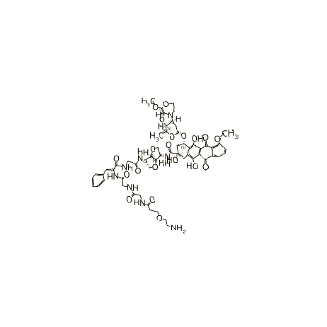 COc1cccc2c1C(=O)c1c(O)c3c(c(O)c1C2=O)C[C@@](O)(C(=O)N[C@H]1CO[C@H]2[C@@H]1OC[C@@H]2NC(=O)CNC(=O)[C@H](Cc1ccccc1)NC(=O)CNC(=O)CNC(=O)CCOCCN)C[C@@H]3O[C@H]1C[C@H]2[C@H](O[C@@H]3[C@@H](OC)OCCN32)[C@H](C)O1